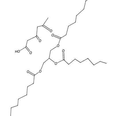 CC(=O)CC(=O)CC(=O)O.CCCCCCCC(=O)OCC(COC(=O)CCCCCCC)OC(=O)CCCCCCC